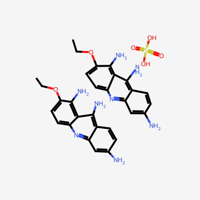 CCOc1ccc2nc3cc(N)ccc3c(N)c2c1N.CCOc1ccc2nc3cc(N)ccc3c(N)c2c1N.O=S(=O)(O)O